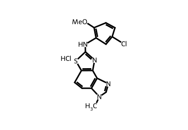 COc1ccc(Cl)cc1Nc1nc2c(ccc3c2ncn3C)s1.Cl